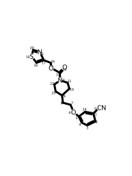 N#Cc1cccc(OCCC2CCN(C(=O)OCc3cscn3)CC2)c1